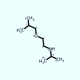 CC(C)COCCNC(C)C